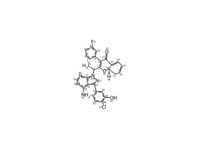 CC(C1=C(c2cccc(F)c2)C(=O)C2=CC=CC[C@@H]2O1)n1nc(-c2ccc(Cl)c(O)c2)c2c(N)ncnc21